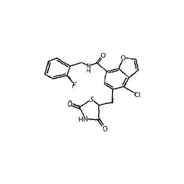 O=C1NC(=O)C(Cc2cc(C(=O)NCc3ccccc3F)c3occc3c2Cl)S1